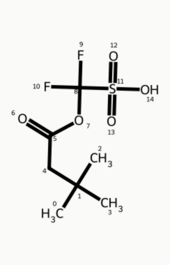 CC(C)(C)CC(=O)OC(F)(F)S(=O)(=O)O